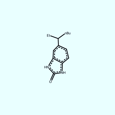 CCCCC(CC)c1ccc2[nH]c(=O)[nH]c2c1